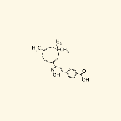 C/C1=C/CC(C)(C)C/C=C(C(/C=C/c2ccc(C(=O)O)cc2)=N/O)\C=C/C1